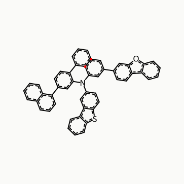 c1ccc(-c2ccc(-c3cccc4ccccc34)cc2N(c2cccc(-c3ccc4c(c3)oc3ccccc34)c2)c2ccc3sc4ccccc4c3c2)cc1